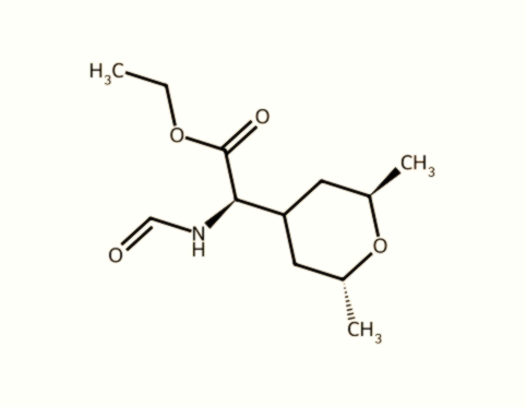 CCOC(=O)[C@H](NC=O)C1C[C@@H](C)O[C@H](C)C1